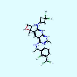 Cc1nc(N[C@H](C)c2cccc(C(F)F)c2F)c2cc(C3(C)CCO3)c(NC3CC(F)(F)C3)nc2n1